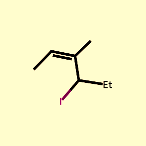 C/C=C(/C)C(I)CC